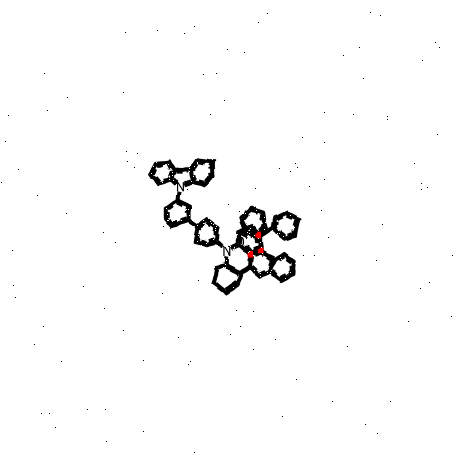 C1=CC(c2cc3ccccc3c3c2oc2ccccc23)=C(N(c2ccc(-c3ccccc3)cc2)c2ccc(-c3cccc(-n4c5ccccc5c5ccccc54)c3)cc2)CC1